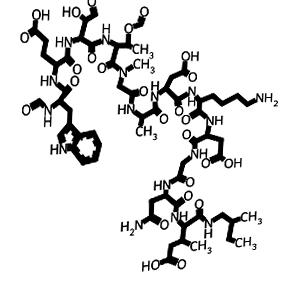 CCC(C)CNC(=O)C(NC(=O)C(CC(N)=O)NC(=O)CNC(=O)C(CC(=O)O)NC(=O)C(CCCCN)NC(=O)C(CC(=O)O)NC(=O)C(C)NC(=O)CN(C)C(=O)C(NC(=O)C(NC(=O)C(CCC(=O)O)NC(=O)C(Cc1c[nH]c2ccccc12)NC=O)C(O)C=O)C(C)OC=O)C(C)CC(=O)O